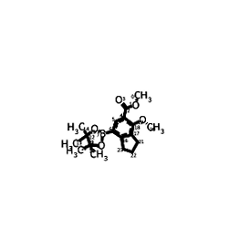 COC(=O)c1cc(B2OC(C)(C)C(C)(C)O2)c2c(c1OC)CCC2